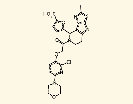 Cc1nn2c3c(nc2s1)CCN(C(=O)COc1ccc(N2CCOCC2)nc1Cl)C3c1ccc(C(=O)O)o1